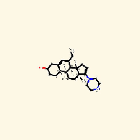 CCC1C=C2CC(O)CC[C@]2(C)[C@@H]2CC[C@]3(C)C(N4CCNCC4)=CC[C@H]3[C@H]12